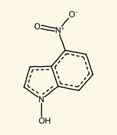 O=[N+]([O-])c1cccc2c1ccn2O